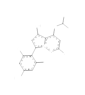 CCC(CC)Oc1cc(C)nn2c(-c3c(C)cc(C)cc3C)cc(C)c12